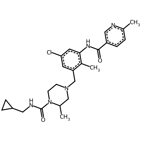 Cc1ccc(C(=O)Nc2cc(Cl)cc(CN3CCN(C(=O)NCC4CC4)C(C)C3)c2C)cn1